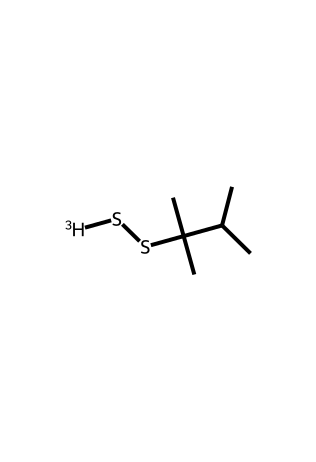 [3H]SSC(C)(C)C(C)C